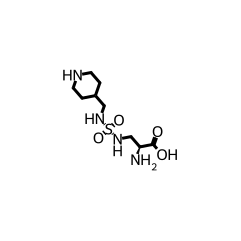 N[C@@H](CNS(=O)(=O)NCC1CCNCC1)C(=O)O